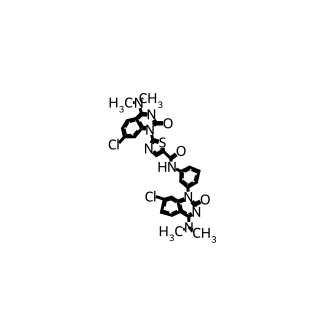 CN(C)c1nc(=O)n(-c2cccc(NC(=O)c3cnc(-n4c(=O)nc(N(C)C)c5ccc(Cl)cc54)s3)c2)c2cc(Cl)ccc12